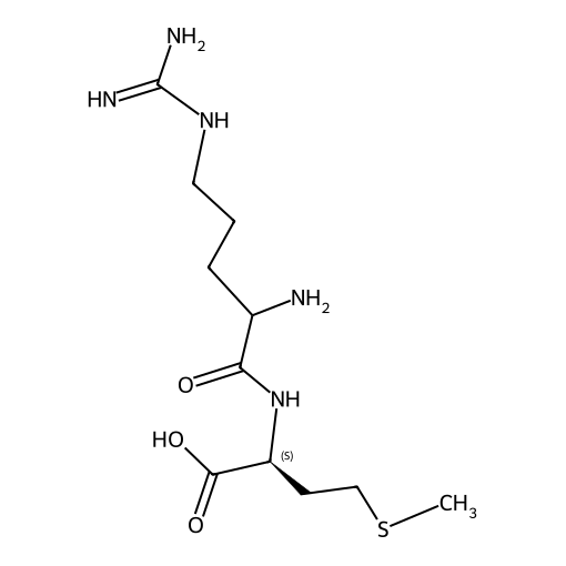 CSCC[C@H](NC(=O)C(N)CCCNC(=N)N)C(=O)O